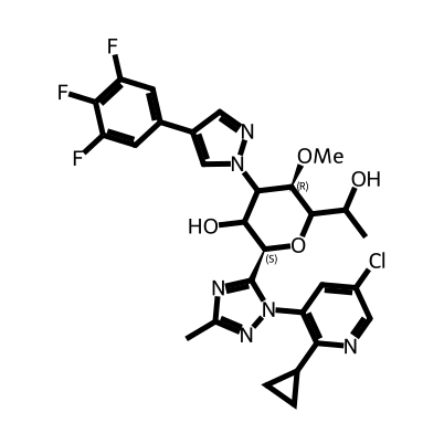 CO[C@H]1C(C(C)O)O[C@@H](c2nc(C)nn2-c2cc(Cl)cnc2C2CC2)C(O)C1n1cc(-c2cc(F)c(F)c(F)c2)cn1